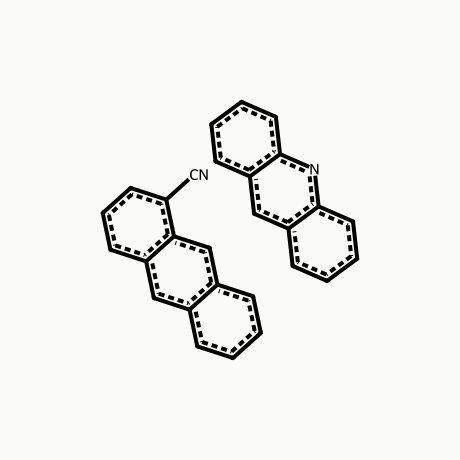 N#Cc1cccc2cc3ccccc3cc12.c1ccc2nc3ccccc3cc2c1